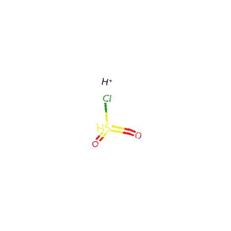 O=[SH](=O)Cl.[H+]